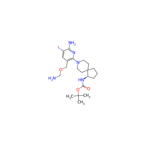 CC(C)(C)OC(=O)N[C@@H]1CCCC12CCN(c1nc(N)c(I)cc1COCN)CC2